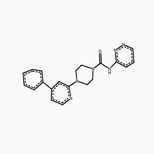 O=C(Nc1cccnn1)N1CCN(c2cc(-c3ccccc3)ccn2)CC1